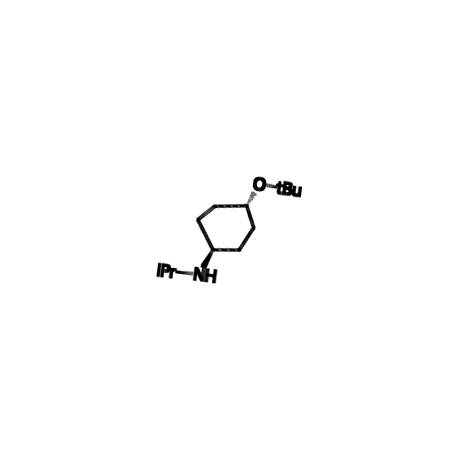 CC(C)N[C@H]1CC[C@H](OC(C)(C)C)CC1